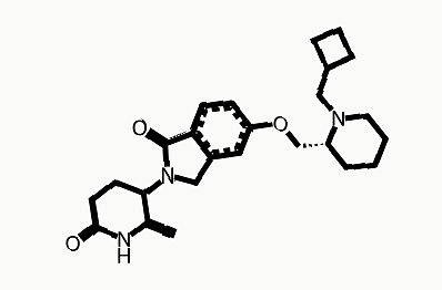 C=C1NC(=O)CCC1N1Cc2cc(OC[C@H]3CCCCN3CC3CCC3)ccc2C1=O